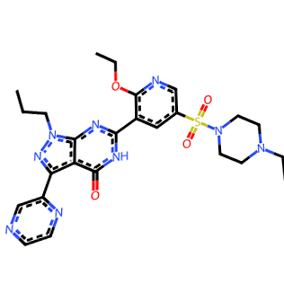 CCCn1nc(-c2cnccn2)c2c(=O)[nH]c(-c3cc(S(=O)(=O)N4CCN(CC)CC4)cnc3OCC)nc21